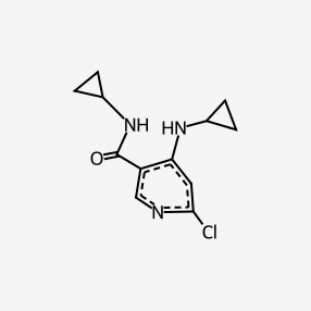 O=C(NC1CC1)c1cnc(Cl)cc1NC1CC1